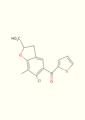 Cc1c(Cl)c(C(=O)c2cccs2)cc2c1OC(C(=O)O)C2